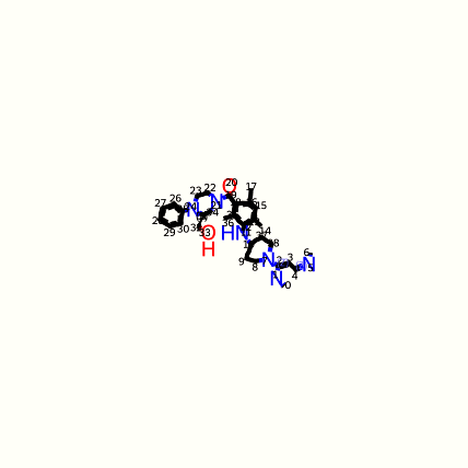 C=N/C(=C\C=N/C)N1CCC(Nc2c(C)cc(C)c(C(=O)N3CCN(c4ccccc4)[C@H](CO)C3)c2C)CC1